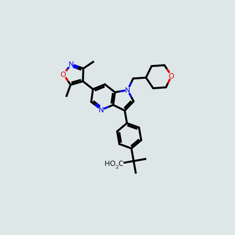 Cc1noc(C)c1-c1cnc2c(-c3ccc(C(C)(C)C(=O)O)cc3)cn(CC3CCOCC3)c2c1